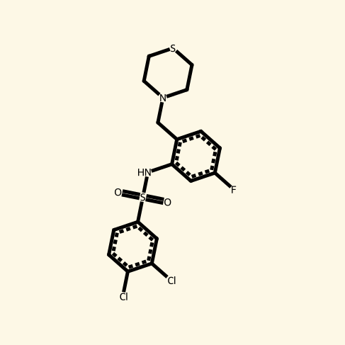 O=S(=O)(Nc1cc(F)ccc1CN1CCSCC1)c1ccc(Cl)c(Cl)c1